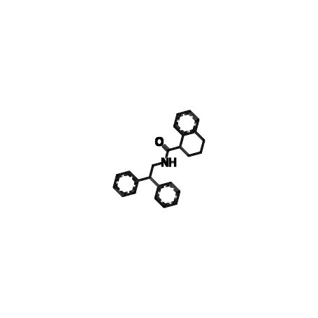 O=C(NCC(c1ccccc1)c1ccccc1)C1CCCc2ccccc21